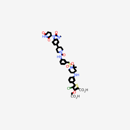 Cn1c(=O)n([C@H]2CCC(=O)NC2=O)c2ccc(C3CCN(C(=O)Nc4cccc(CS(=O)(=O)N5CC[C@H](Nc6cccc(-c7sc(C(=O)O)c(OCC(=O)O)c7Cl)c6)CC5(C)C)c4)CC3)cc21